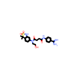 CC1(C)c2ccc(N(CCO)C(=O)CCC(=O)Nc3ccc(C(=N)N)cc3)cc2NS1(=O)=O